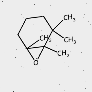 [CH2]C12OC1(C)CCCC2(C)C